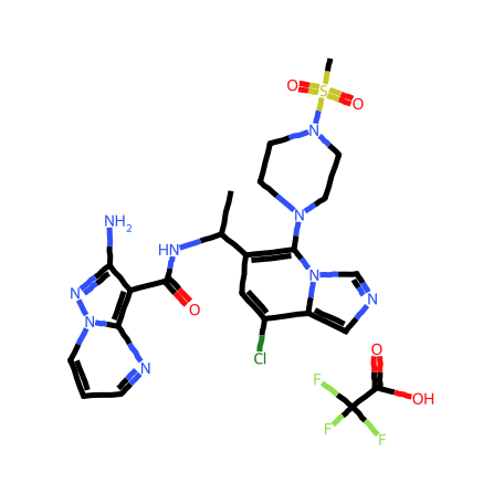 CC(NC(=O)c1c(N)nn2cccnc12)c1cc(Cl)c2cncn2c1N1CCN(S(C)(=O)=O)CC1.O=C(O)C(F)(F)F